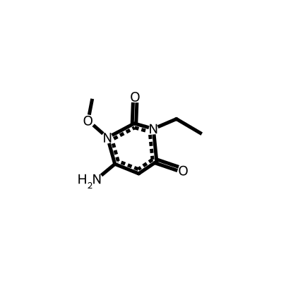 CCn1c(=O)cc(N)n(OC)c1=O